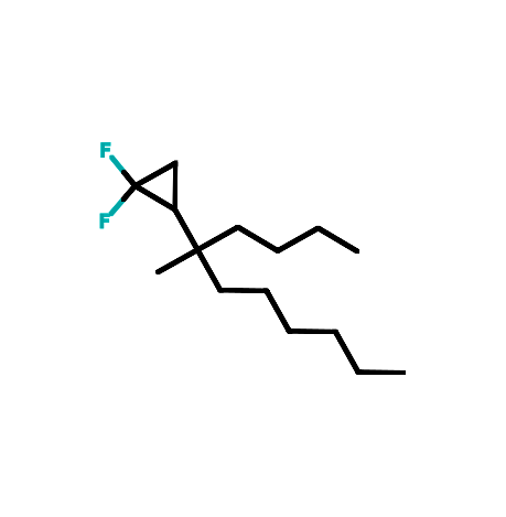 CCCCCCC(C)(CCCC)C1CC1(F)F